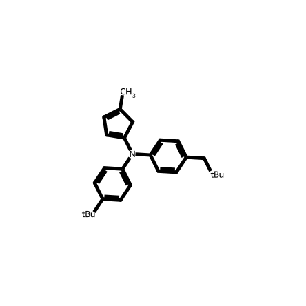 CC1=CC=C(N(c2ccc(CC(C)(C)C)cc2)c2ccc(C(C)(C)C)cc2)C1